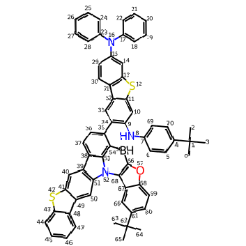 CC(C)(C)c1ccc(Nc2cc3sc4cc(N(c5ccccc5)c5ccccc5)ccc4c3cc2-c2ccc3c4cc5sc6ccccc6c5cc4n4c3c2Bc2oc3ccc(C(C)(C)C)cc3c2-4)cc1